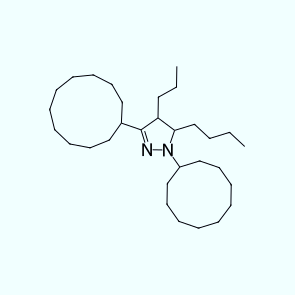 CCCCC1C(CCC)C(C2CCCCCCCCCC2)=NN1C1CCCCCCCCC1